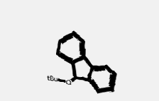 CC(C)(C)OC1c2ccccc2-c2ccccc21